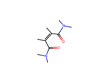 C/C(C(=O)N(C)C)=C(\C)C(=O)N(C)C